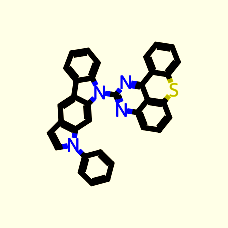 c1ccc(-n2ccc3cc4c5ccccc5n(-c5nc6c7c(cccc7n5)Sc5ccccc5-6)c4cc32)cc1